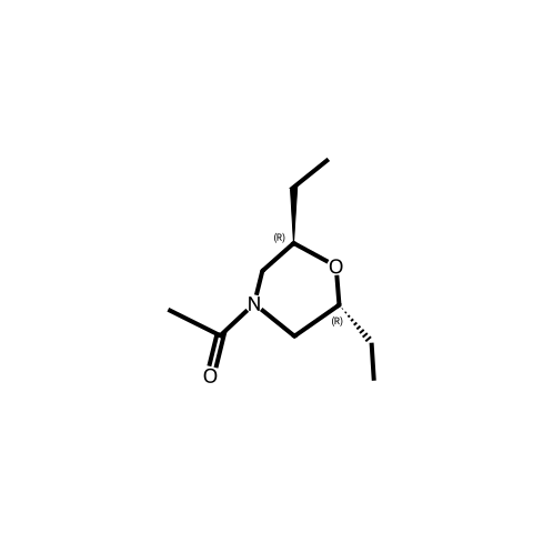 CC[C@@H]1CN(C(C)=O)C[C@@H](CC)O1